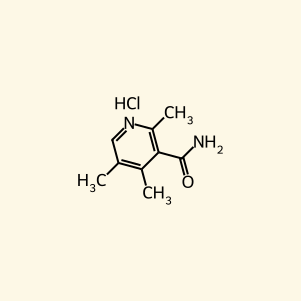 Cc1cnc(C)c(C(N)=O)c1C.Cl